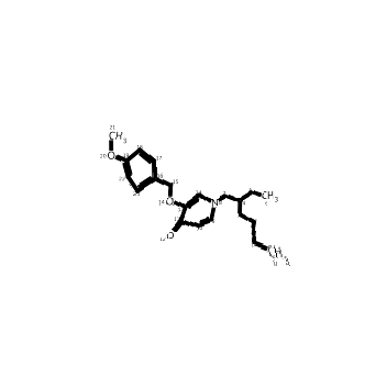 CCCCC(CC)Cn1ccc(=O)c(OCc2ccc(OC)cc2)c1